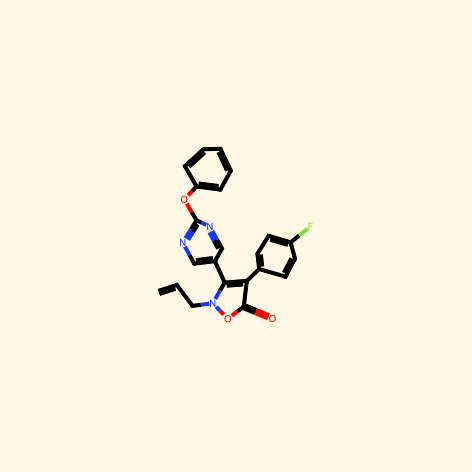 C=CCn1oc(=O)c(-c2ccc(F)cc2)c1-c1cnc(Oc2ccccc2)nc1